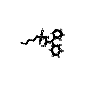 CCCCCS(=O)(=O)NC(=O)N(c1ccnnn1)c1ncccn1